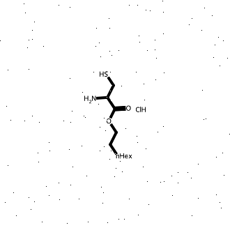 CCCCCCCCOC(=O)C(N)CS.Cl